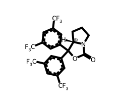 O=C1OC(c2cc(C(F)(F)F)cc(C(F)(F)F)c2)(c2cc(C(F)(F)F)cc(C(F)(F)F)c2)[C@@H]2CCCN12